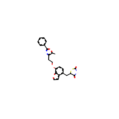 Cc1oc(-c2ccccc2)nc1CCOc1ccc(CC2SC(=O)NC2=O)c2ccoc12